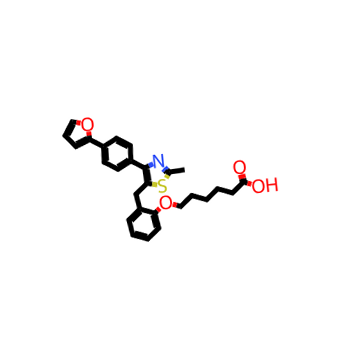 Cc1nc(-c2ccc(-c3ccco3)cc2)c(Cc2ccccc2OCCCCCC(=O)O)s1